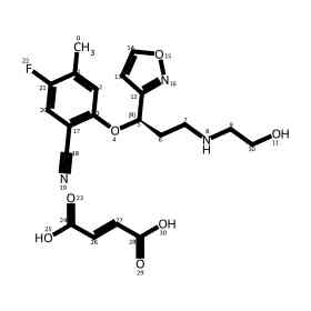 Cc1cc(O[C@H](CCNCCO)c2ccon2)c(C#N)cc1F.O=C(O)C=CC(=O)O